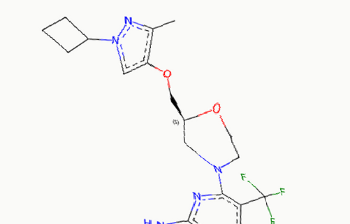 Cc1nn(C2CCC2)cc1OC[C@@H]1CN(c2nc(N)ncc2C(F)(F)F)CCO1